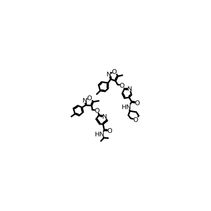 Cc1ccc(-c2noc(C)c2COc2ccc(C(=O)NC(C)C)cn2)cc1.Cc1ccc(-c2noc(C)c2COc2ccc(C(=O)NC3CCOCC3)cn2)cc1